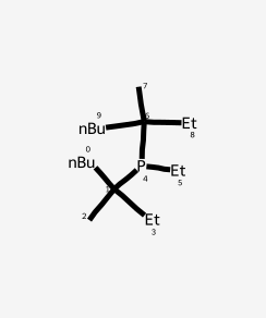 CCCCC(C)(CC)P(CC)C(C)(CC)CCCC